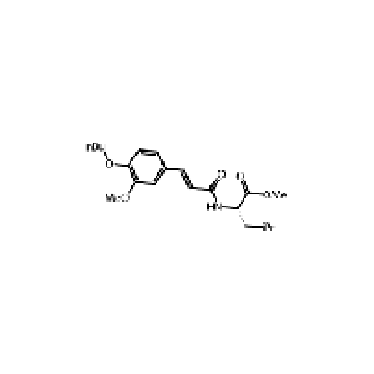 CCCCOc1ccc(C=CC(=O)N[C@@H](CC(C)C)C(=O)OC)cc1OC